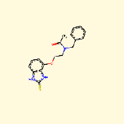 O=C(N(CCOc1cccc2[nH]c(=S)[nH]c12)Cc1ccccc1)C(F)(F)F